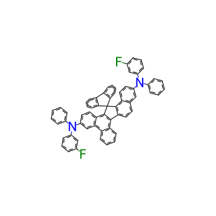 Fc1cccc(N(c2ccccc2)c2ccc3c4c(ccc3c2)-c2c(c3ccc(N(c5ccccc5)c5cccc(F)c5)cc3c3ccccc23)C42c3ccccc3-c3ccccc32)c1